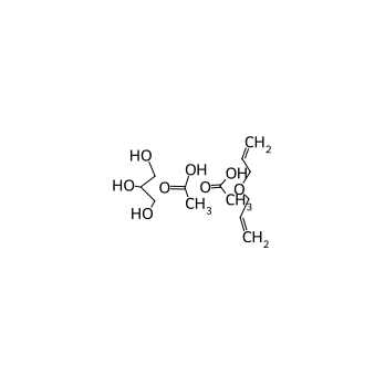 C=CCOCC=C.CC(=O)O.CC(=O)O.OCC(O)CO